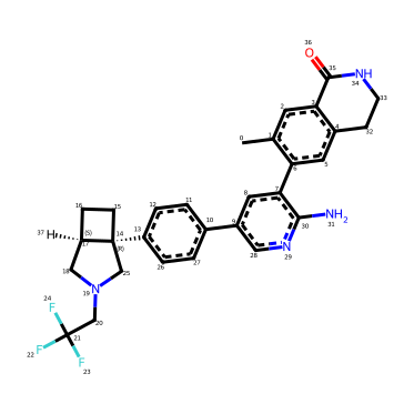 Cc1cc2c(cc1-c1cc(-c3ccc([C@@]45CC[C@@H]4CN(CC(F)(F)F)C5)cc3)cnc1N)CCNC2=O